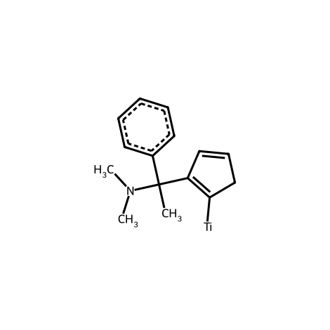 CN(C)C(C)(C1=[C]([Ti])CC=C1)c1ccccc1